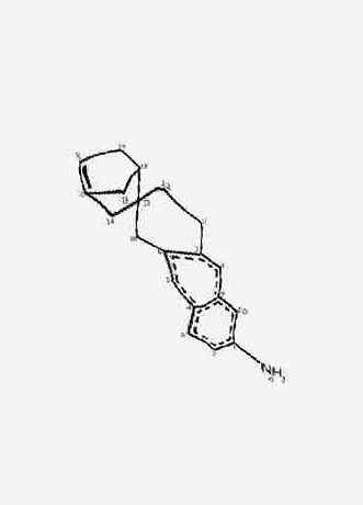 Nc1ccc2cc3c(cc2c1)CCC1(CC2=CCC1C2)C3